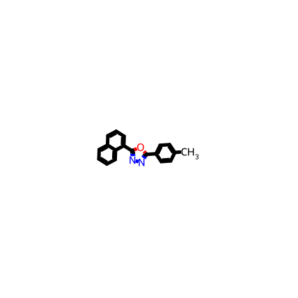 Cc1ccc(-c2nnc(-c3cccc4ccccc34)o2)cc1